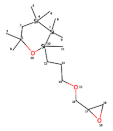 CC1(C)C[Si](C)(C)[Si](C)(C)[Si](C)(CCCOCC2CO2)O1